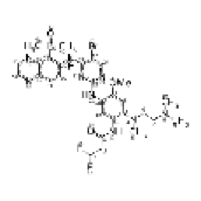 COc1cc(N(C)CCN(C)C)c(NC(=O)CC(F)F)cc1Nc1ncc(Br)c(Nc2ccc3nccnc3c2P(C)(C)=O)n1